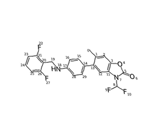 Cc1cc2oc(=O)n(C(F)F)c2cc1-c1ccc(NCc2c(F)cccc2F)cc1